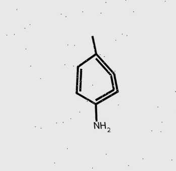 CC1=C=C=C(N)C=C1